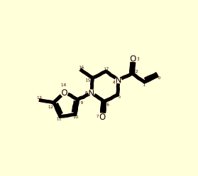 C=CC(=O)N1CC(=O)N(c2ccc(C)o2)C(C)C1